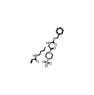 C=CC(=O)NCCCC[C@H](NC(=O)OCc1ccccc1)C(=O)N1CCN(S(=O)(=O)CC)CC1